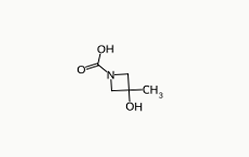 CC1(O)CN(C(=O)O)C1